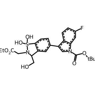 CCOC(=O)CN1C(CO)c2cc(-c3cn(C(=O)OC(C)(C)C)c4cc(F)ccc34)ccc2S1(O)O